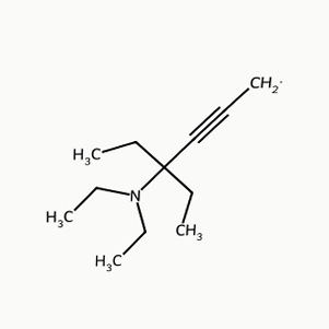 [CH2]C#CC(CC)(CC)N(CC)CC